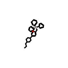 CCCC1CCC(c2ccc(C[PH](c3ccccc3)(c3ccccc3)c3ccccc3)cc2)CC1